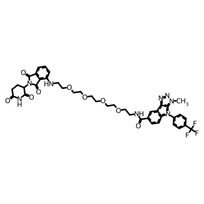 Cn1nnc2c3cc(C(=O)NCCOCCOCCOCCOCCNc4cccc5c4C(=O)N(C4CCC(=O)NC4=O)C5=O)ccc3n(-c3ccc(C(F)(F)F)cc3)c21